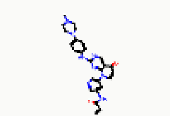 C=CC(=O)Nc1cncc(-n2ccc(=O)c3cnc(Nc4ccc(N5CCN(C)CC5)cc4)nc32)c1